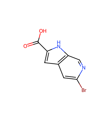 O=C(O)c1cc2cc(Br)ncc2[nH]1